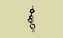 Fc1ccc(-c2cc3cnc(N4CCNCC4)nc3s2)cc1